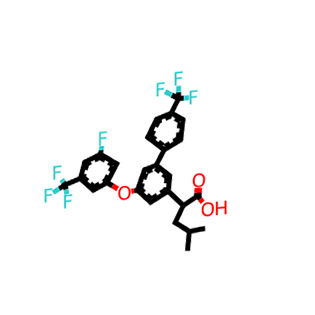 CC(C)CC(C(=O)O)c1cc(Oc2cc(F)cc(C(F)(F)F)c2)cc(-c2ccc(C(F)(F)F)cc2)c1